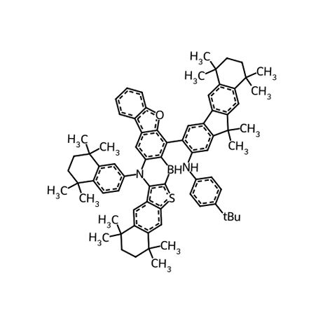 CC(C)(C)c1ccc(Nc2cc3c(cc2-c2c4c(cc5c2oc2ccccc25)N(c2ccc5c(c2)C(C)(C)CCC5(C)C)c2c(sc5cc6c(cc25)C(C)(C)CCC6(C)C)B4)-c2cc4c(cc2C3(C)C)C(C)(C)CCC4(C)C)cc1